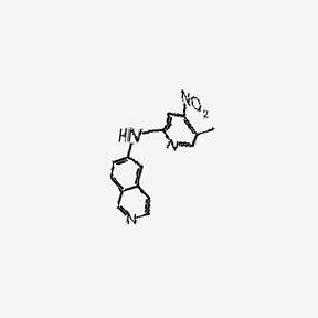 Cc1cnc(Nc2ccc3cnccc3c2)cc1[N+](=O)[O-]